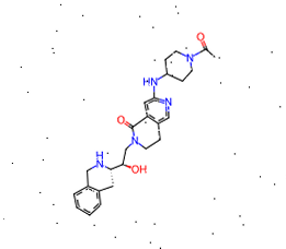 CC(=O)N1CCC(Nc2cc3c(cn2)CCN(C[C@@H](O)[C@@H]2Cc4ccccc4CN2)C3=O)CC1